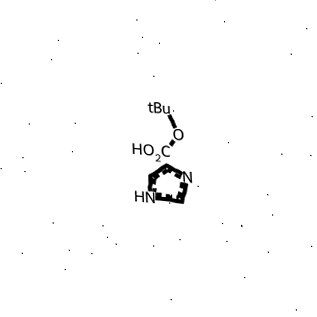 CC(C)(C)OC(=O)O.c1c[nH]cn1